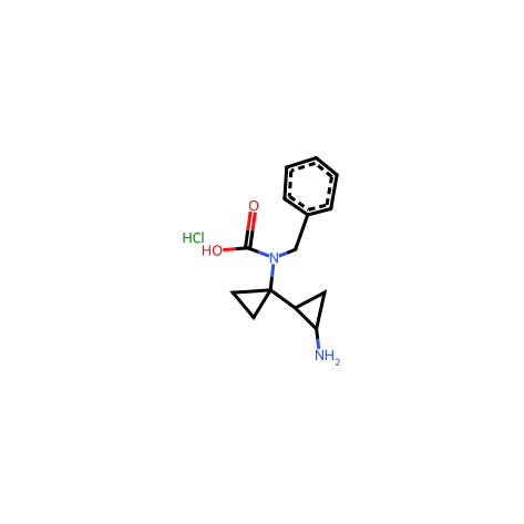 Cl.NC1CC1C1(N(Cc2ccccc2)C(=O)O)CC1